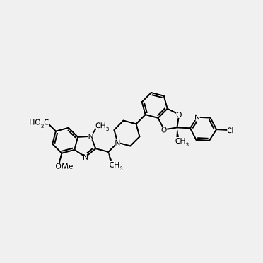 COc1cc(C(=O)O)cc2c1nc([C@H](C)N1CCC(c3cccc4c3O[C@@](C)(c3ccc(Cl)cn3)O4)CC1)n2C